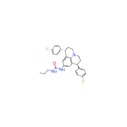 CCCNC(=O)Nc1cc2c3c(c1)[C@H](c1ccc(F)cc1)CCN3CC[C@H]2c1ccc(F)cc1